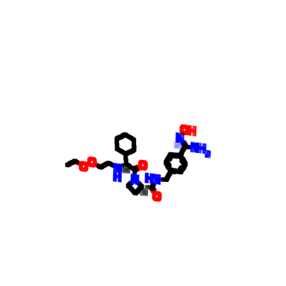 CCOOCCN[C@@H](C(=O)N1CC[C@H]1C(=O)NCc1ccc(/C(N)=N/O)cc1)C1CCCCC1